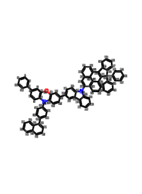 c1ccc(-c2ccc3c(c2)Oc2cc(-c4ccc5c(c4)c4ccccc4n5-c4cc5cccc6c7c(c8cccc4c8c56)C(c4ccccc4)(c4ccccc4)c4ccccc4-7)ccc2N3c2ccc(-c3cccc4ccccc34)cc2)cc1